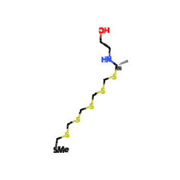 CSCSCSCSCSCS[C@@H](C)NCCO